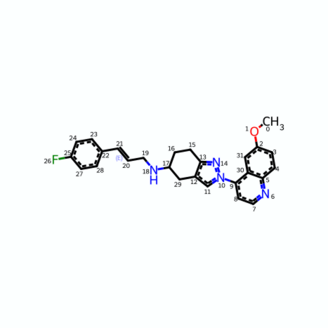 COc1ccc2nccc(-n3cc4c(n3)CCC(NC/C=C/c3ccc(F)cc3)C4)c2c1